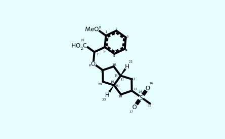 COc1ccccc1C(OC1C[C@@H]2CC(S(C)(=O)=O)C[C@@H]2C1)C(=O)O